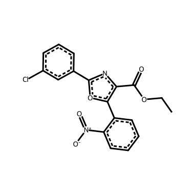 CCOC(=O)c1nc(-c2cccc(Cl)c2)oc1-c1ccccc1[N+](=O)[O-]